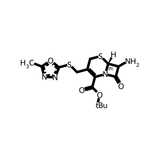 Cc1nnc(SCC2=C(C(=O)OC(C)(C)C)N3C(=O)C(N)[C@H]3SC2)o1